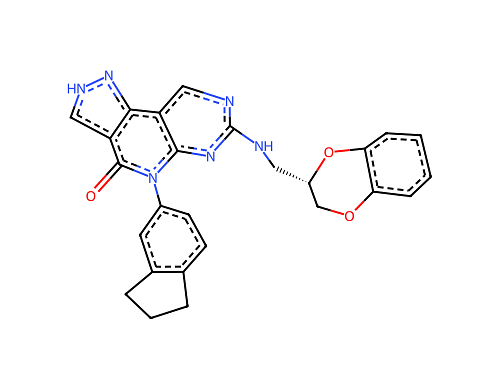 O=c1c2c[nH]nc2c2cnc(NC[C@H]3COc4ccccc4O3)nc2n1-c1ccc2c(c1)CCC2